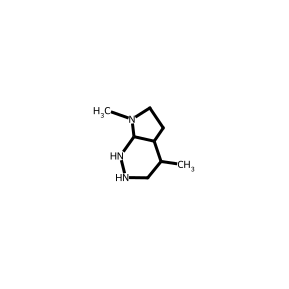 CC1CNNC2C1CCN2C